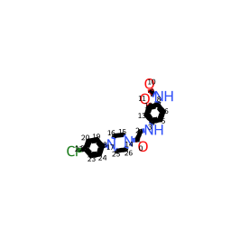 O=C(CNc1ccc2[nH]c(=O)oc2c1)N1CCN(c2ccc(Cl)cc2)CC1